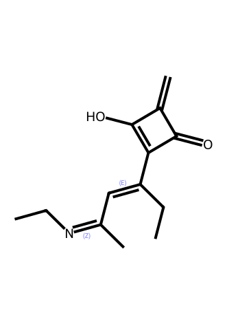 C=C1C(=O)C(/C(=C/C(C)=N\CC)CC)=C1O